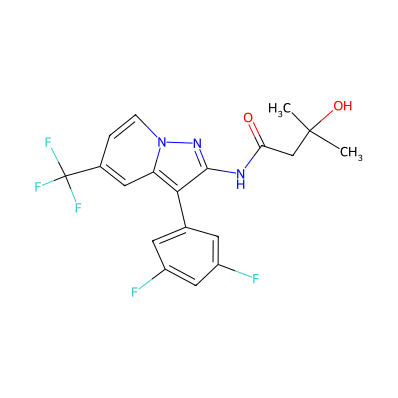 CC(C)(O)CC(=O)Nc1nn2ccc(C(F)(F)F)cc2c1-c1cc(F)cc(F)c1